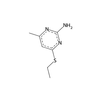 CCSc1cc(C)nc(N)n1